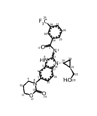 O=C(/N=c1\[nH]c2cc(N3CCCOC3=O)ccc2n1[C@@H]1C[C@H]1CO)c1cccc(C(F)(F)F)c1